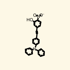 O=[N+]([O-])c1ccc(C#Cc2ccc(N(c3ccccc3)c3ccccc3)cc2)cc1O